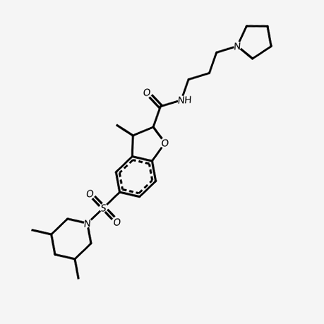 CC1CC(C)CN(S(=O)(=O)c2ccc3c(c2)C(C)C(C(=O)NCCCN2CCCC2)O3)C1